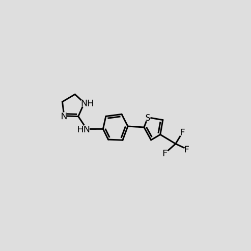 FC(F)(F)c1csc(-c2ccc(NC3=NCCN3)cc2)c1